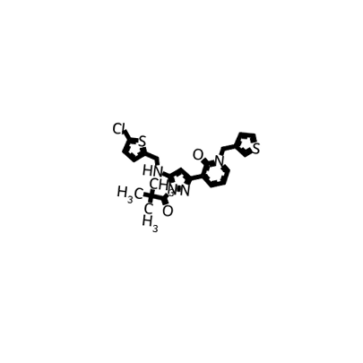 CC(C)(C)C(=O)n1nc(-c2cccn(Cc3ccsc3)c2=O)cc1NCc1ccc(Cl)s1